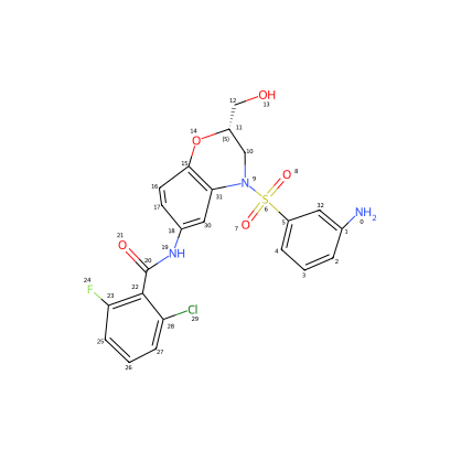 Nc1cccc(S(=O)(=O)N2C[C@@H](CO)Oc3ccc(NC(=O)c4c(F)cccc4Cl)cc32)c1